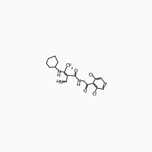 N=C/C(C(=O)NCC(=O)c1c(Cl)cncc1Cl)=C(\NC1CCCCC1)C(F)(F)F